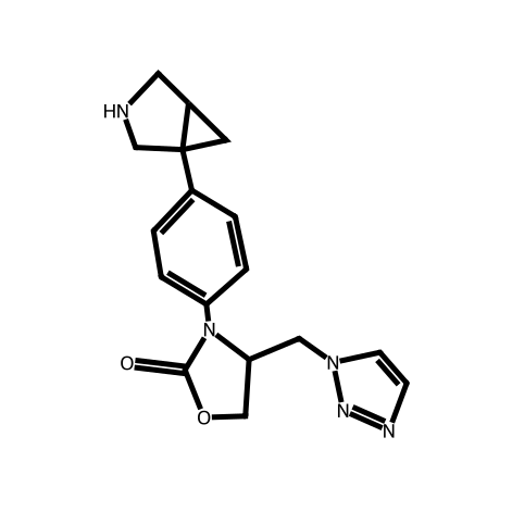 O=C1OCC(Cn2ccnn2)N1c1ccc(C23CNCC2C3)cc1